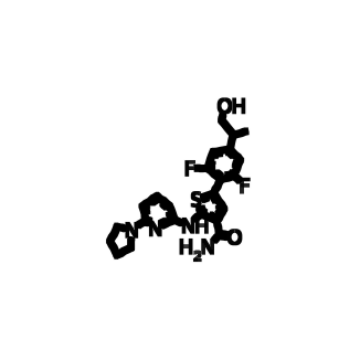 CC(CO)c1cc(F)c(-c2cc(C(N)=O)c(Nc3cccc(N4CCCC4)n3)s2)c(F)c1